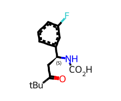 CC(C)(C)C(=O)C[C@H](NC(=O)O)c1cccc(F)c1